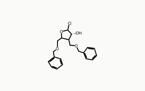 O[C@H]1C(Cl)OC(COCc2ccccc2)C1COCc1ccccc1